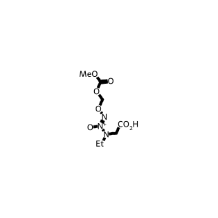 CCN(CC(=O)O)[N+]([O-])=NOCOC(=O)OC